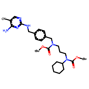 [C-]#[N+]c1cnc(NCc2ccc(CN(CCCN(C(=O)OC(C)(C)C)C3CCCCC3)C(=O)OC(C)(C)C)cc2)nc1N